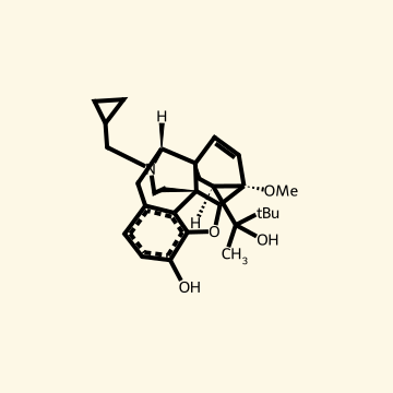 CO[C@@]12C=C[C@@]3(C[C@@H]1C(C)(O)C(C)(C)C)[C@H]1Cc4ccc(O)c5c4[C@@]3(CCN1CC1CC1)C2O5